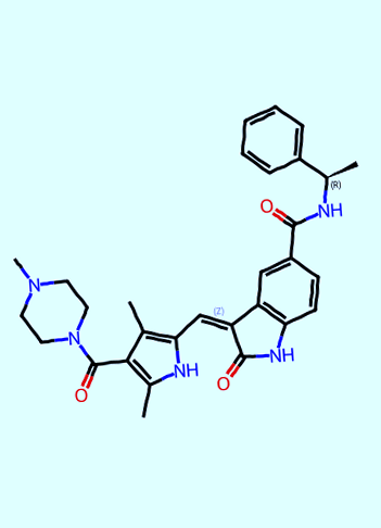 Cc1[nH]c(/C=C2\C(=O)Nc3ccc(C(=O)N[C@H](C)c4ccccc4)cc32)c(C)c1C(=O)N1CCN(C)CC1